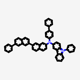 c1ccc(-c2ccc(N(c3ccc4ccc(-c5ccc6ccc(-c7ccccc7)cc6c5)cc4c3)c3ccc4c(c3)c3ccccc3n4-c3ccccc3)cc2)cc1